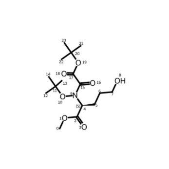 COC(=O)[C@H](CCCO)N(OC(C)(C)C)C(=O)C(=O)OC(C)(C)C